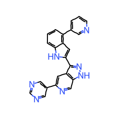 c1cncc(-c2cccc3[nH]c(-c4n[nH]c5cnc(-c6cncnc6)cc45)cc23)c1